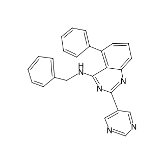 c1ccc(CNc2nc(-c3cncnc3)nc3cccc(-c4ccccc4)c23)cc1